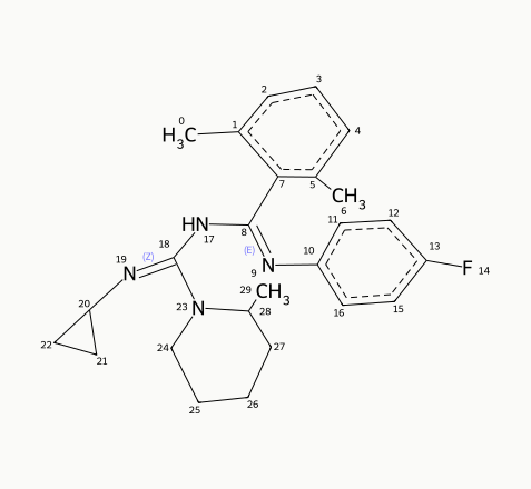 Cc1cccc(C)c1/C(=N\c1ccc(F)cc1)N/C(=N/C1CC1)N1CCCCC1C